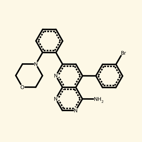 Nc1ncnc2nc(-c3ccccc3N3CCOCC3)cc(-c3cccc(Br)c3)c12